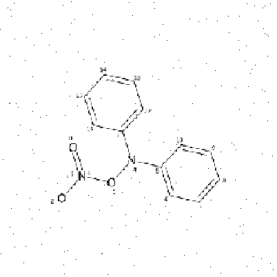 O=[N+]([O-])ON(c1ccccc1)c1ccccc1